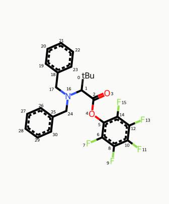 CC(C)(C)C(C(=O)Oc1c(F)c(F)c(F)c(F)c1F)N(Cc1ccccc1)Cc1ccccc1